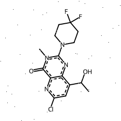 CC(O)c1cc(Cl)nc2c(=O)n(C)c(N3CCC(F)(F)CC3)nc12